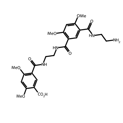 COc1cc(OC)c(C(=O)NCCNC(=O)c2cc(C(=O)NCCN)c(OC)cc2OC)cc1C(=O)O